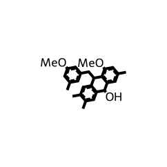 COc1cc(C)cc(CC2c3cc(C)c(C)cc3C(O)c3cc(C)cc(OC)c32)c1